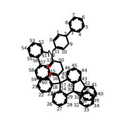 C1=CC(c2ccccc2)CC=C1N(C1=CC=C(C2(c3ccccc3)c3ccccc3C3(c4ccccc4)c4ccccc4-c4cccc2c43)CC1)c1ccccc1-c1ccccc1